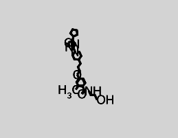 Cc1cc(OCCCC2CCN(c3noc(C4CCCC4)n3)CC2)ccc1C(=O)NCCCO